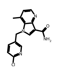 Cc1ccnc2c(C(N)=O)cn(Cc3ccc(Cl)nc3)c12